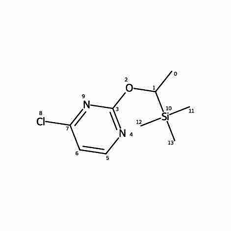 CC(Oc1nccc(Cl)n1)[Si](C)(C)C